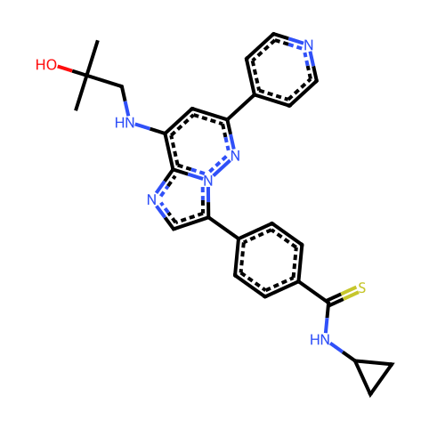 CC(C)(O)CNc1cc(-c2ccncc2)nn2c(-c3ccc(C(=S)NC4CC4)cc3)cnc12